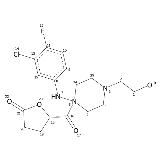 [O]CCN1CC[N+](Nc2ccc(F)c(Cl)c2)(C(=O)[C@@H]2CCC(=O)O2)CC1